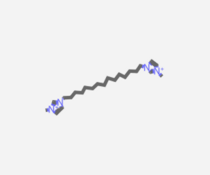 C[n+]1ccn(CCCCCCCCCCCCCCCn2cc[n+](C)c2)c1